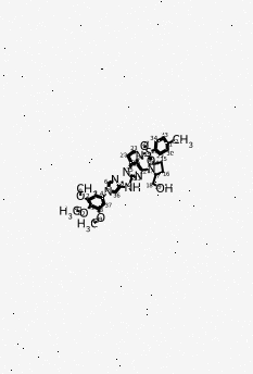 COc1cc(-n2cnc(Nc3nc(N4CCCC4CO)c4c(ccn4S(=O)(=O)c4ccc(C)cc4)n3)c2)cc(OC)c1OC